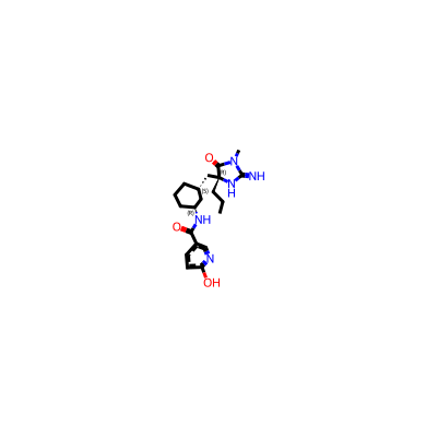 CCC[C@]1(C[C@H]2CCC[C@@H](NC(=O)c3ccc(O)nc3)C2)NC(=N)N(C)C1=O